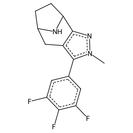 Cn1nc2c(c1-c1cc(F)c(F)c(F)c1)CC1CCC2N1